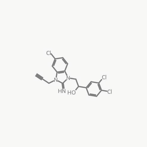 C#CCn1c(=N)n(CC(O)c2ccc(Cl)c(Cl)c2)c2ccc(Cl)cc21